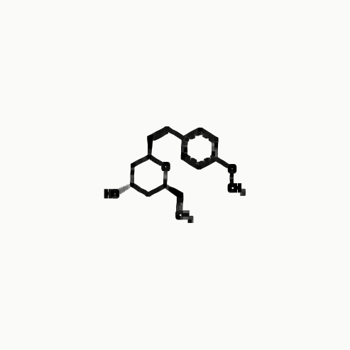 C=C[C@H]1C[C@H](O)C[C@@H](/C=C\c2ccc(OC)cc2)O1